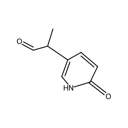 CC(C=O)c1ccc(=O)[nH]c1